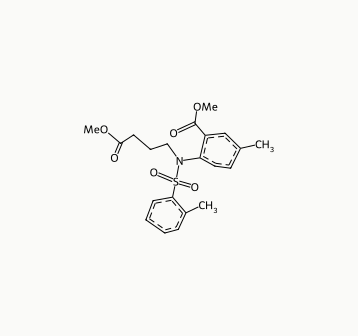 COC(=O)CCCN(c1ccc(C)cc1C(=O)OC)S(=O)(=O)c1ccccc1C